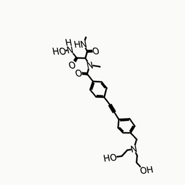 CNC(=O)C(C(=O)NO)N(C)C(=O)c1ccc(C#Cc2ccc(CN(CCO)CCO)cc2)cc1